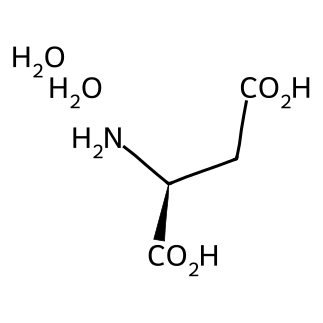 N[C@@H](CC(=O)O)C(=O)O.O.O